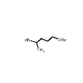 CCCC(C)CCCOC